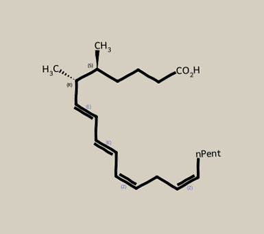 CCCCC/C=C\C\C=C/C=C/C=C/[C@H](C)[C@@H](C)CCCC(=O)O